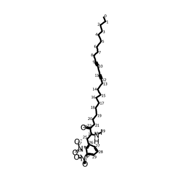 CCCCCCCCCC#CC#CCCCCCCCCCC(=O)C(Cc1cccc([N+](=O)[O-])c1[N+](=O)[O-])NI